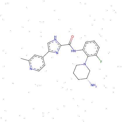 Cc1cc(-c2c[nH]c(C(=O)Nc3cccc(F)c3N3CCC[C@@H](N)C3)n2)ccn1